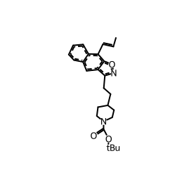 CC=Cc1c2ccccc2cc2c(CCC3CCN(C(=O)OC(C)(C)C)CC3)noc12